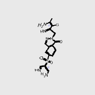 C/C(N)=C(\Cl)C(=N)Cn1ncc2cc(S(=O)(=O)/C(C=N)=C/N)ccc2c1=O